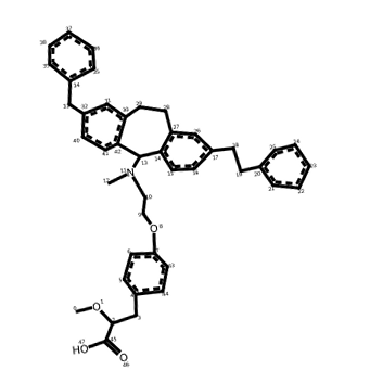 COC(Cc1ccc(OCCN(C)C2c3ccc(CCc4ccccc4)cc3CCc3cc(Cc4ccccc4)ccc32)cc1)C(=O)O